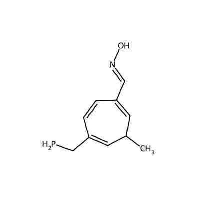 CC1C=C(/C=N/O)C=CC(CP)=C1